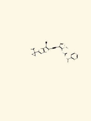 CC(OC(=O)Nc1c(C#Cc2sc3cc(C4(C(=O)O)CC4)sc3c2C#N)cnn1C)c1ccccc1